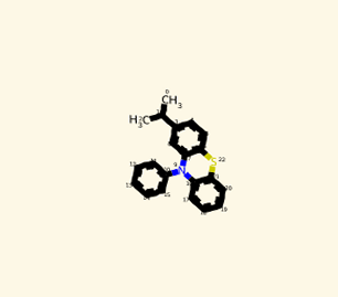 CC(C)c1ccc2c(c1)N(c1ccccc1)c1ccccc1S2